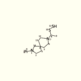 CC(C)N1CCC2(CCN(C(C)SS)CC2)C1